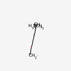 [CH2]CCCCCCCCCCCCCCCCCCCCCCCCCCCC[Si](C)(C)C